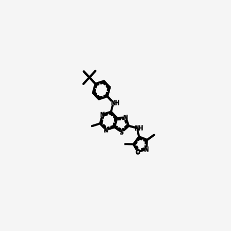 Cc1nc(Nc2ccc(C(C)(C)C)cc2)c2nc(Nc3c(C)noc3C)sc2n1